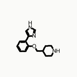 c1ccc(-c2c[nH]cn2)c(OCC2CCNCC2)c1